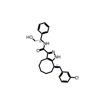 O=C(N[C@H](CO)c1ccccc1)c1n[nH]c2c1CCCCC/C2=C\c1cccc(Cl)c1